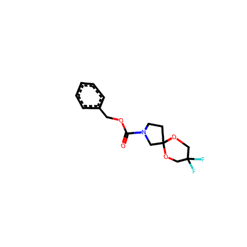 O=C(OCc1ccccc1)N1CCC2(C1)OCC(F)(F)CO2